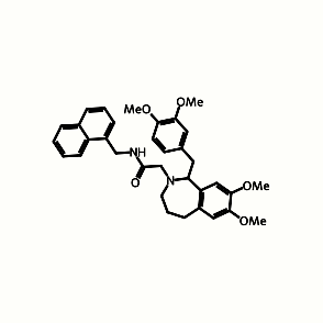 COc1ccc(CC2c3cc(OC)c(OC)cc3CCCN2CC(=O)NCc2cccc3ccccc23)cc1OC